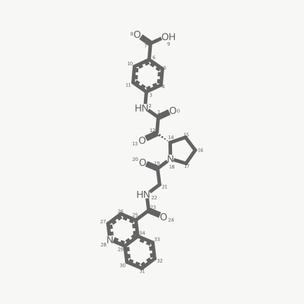 O=C(Nc1ccc(C(=O)O)cc1)C(=O)[C@@H]1CCCN1C(=O)CNC(=O)c1ccnc2ccccc12